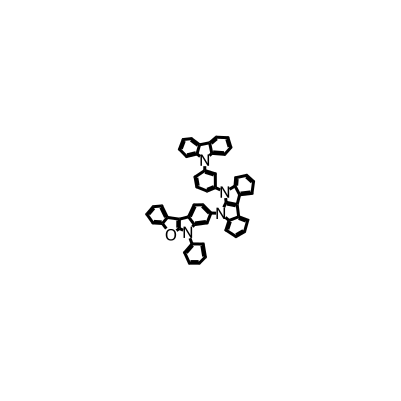 c1ccc(-n2c3cc(-n4c5ccccc5c5c6ccccc6n(-c6cccc(-n7c8ccccc8c8ccccc87)c6)c54)ccc3c3c4ccccc4oc32)cc1